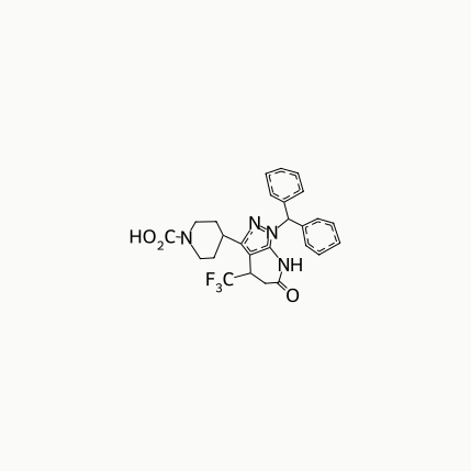 O=C1CC(C(F)(F)F)c2c(C3CCN(C(=O)O)CC3)nn(C(c3ccccc3)c3ccccc3)c2N1